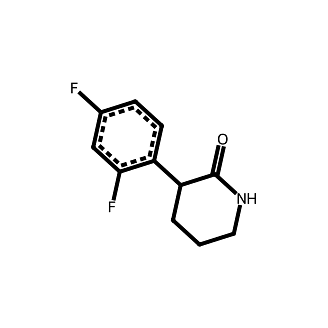 O=C1NCCCC1c1ccc(F)cc1F